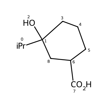 CC(C)C1(O)CCCC(C(=O)O)C1